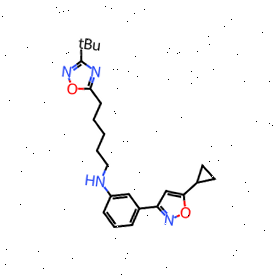 CC(C)(C)c1noc(CCCCCNc2cccc(-c3cc(C4CC4)on3)c2)n1